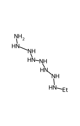 CCNNNNNNNN